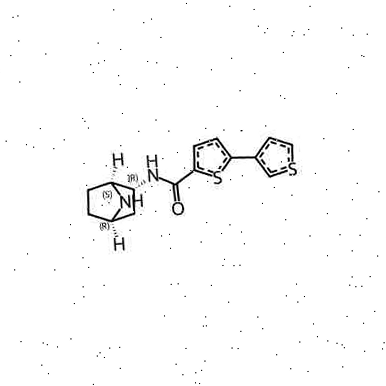 O=C(N[C@@H]1C[C@H]2CC[C@@H]1N2)c1ccc(-c2ccsc2)s1